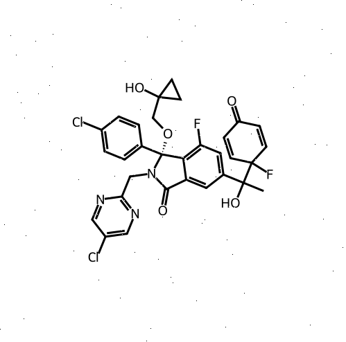 CC(O)(c1cc(F)c2c(c1)C(=O)N(Cc1ncc(Cl)cn1)[C@@]2(OCC1(O)CC1)c1ccc(Cl)cc1)C1(F)C=CC(=O)C=C1